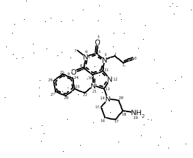 C=CCn1c(=O)n(C)c(=O)c2c1nc(N1CCCC(N)C1)n2Cc1ccccc1